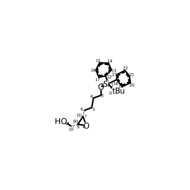 CC(C)(C)[Si](OCCCC[C@@H]1O[C@@H]1CO)(c1ccccc1)c1ccccc1